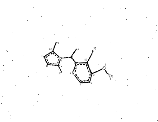 CCOc1ccnc(C(C)n2c(C)ccc2C)c1F